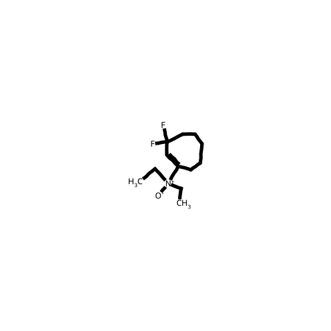 CC[N+]([O-])(CC)C1=CC(F)(F)CCCCC1